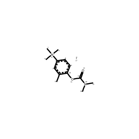 Cc1cc([N+](C)(C)C)ccc1OC(=O)N(C)C.[I-]